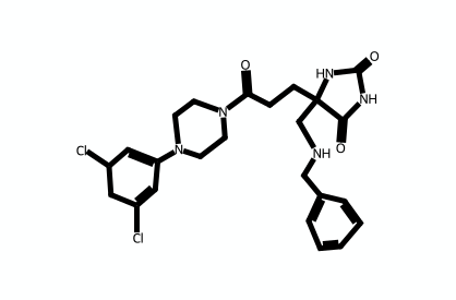 O=C1NC(=O)C(CCC(=O)N2CCN(C3=CC(Cl)CC(Cl)=C3)CC2)(CNCc2ccccc2)N1